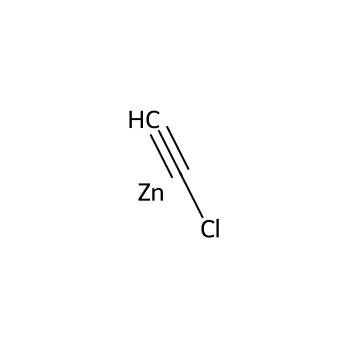 C#CCl.[Zn]